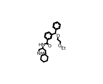 CCOCCO[C@@H](c1ccccc1)c1cccc(C(=O)NC(CNC)CC2CCCCC2)c1